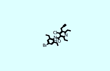 C#CCc1c(CC)nc(CC)c(C(=O)Nc2c(CC)cc(Br)cc2CC)c1Cl